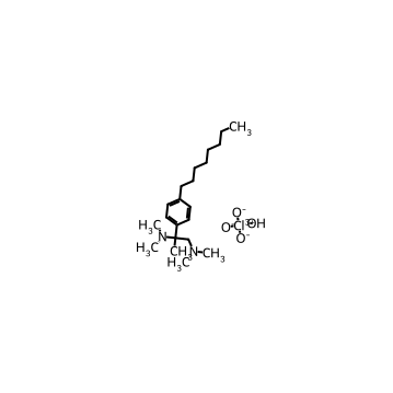 CCCCCCCCc1ccc(C(C)(CN(C)C)N(C)C)cc1.[O-][Cl+3]([O-])([O-])O